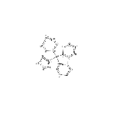 [c]1cn(C(c2ccccc2)(c2ccccc2)c2ccccc2)cn1